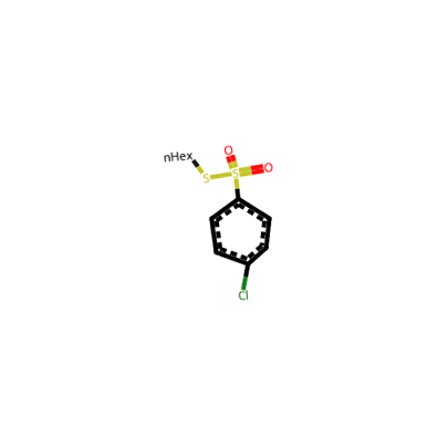 CCCCCCSS(=O)(=O)c1ccc(Cl)cc1